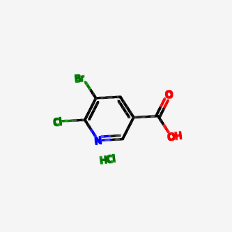 Cl.O=C(O)c1cnc(Cl)c(Br)c1